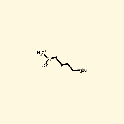 CCCCCC[CH]C[S+](C)[O-]